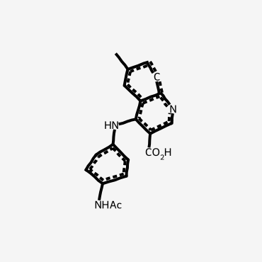 CC(=O)Nc1ccc(Nc2c(C(=O)O)cnc3ccc(C)cc23)cc1